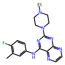 CCN1CCN(c2nc(Nc3ccc(F)c(C)c3)c3nccnc3n2)CC1